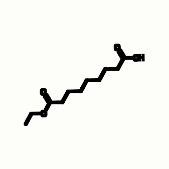 CCOC(=O)CCCCCCCC(=O)O